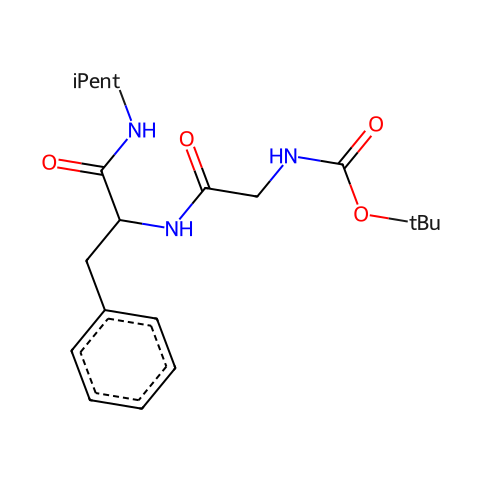 CCCC(C)NC(=O)C(Cc1ccccc1)NC(=O)CNC(=O)OC(C)(C)C